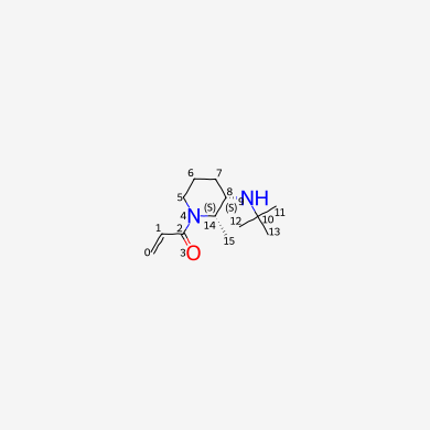 C=CC(=O)N1CCC[C@H](NC(C)(C)C)[C@@H]1C